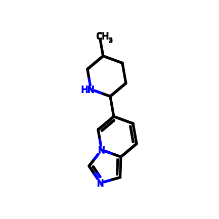 CC1CCC(c2ccc3cncn3c2)NC1